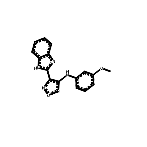 COc1cccc(Nc2nonc2-c2nc3ccccc3[nH]2)c1